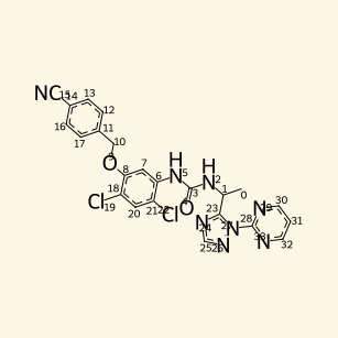 CC(NC(=O)Nc1cc(OCc2ccc(C#N)cc2)c(Cl)cc1Cl)c1ncnn1-c1ncccn1